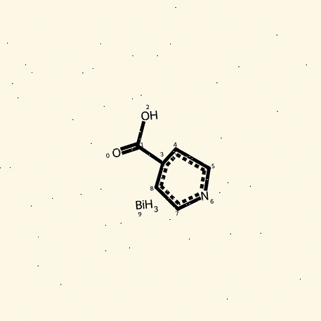 O=C(O)c1ccncc1.[BiH3]